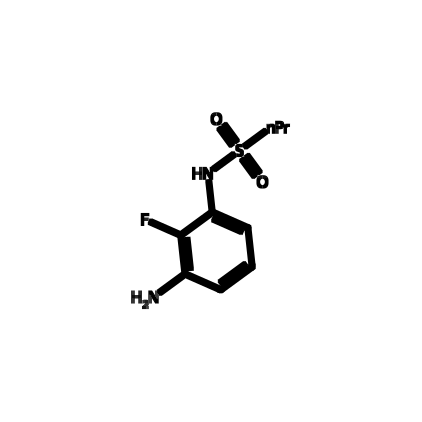 CCCS(=O)(=O)Nc1cccc(N)c1F